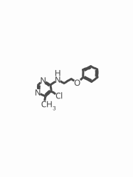 Cc1ncnc(NCCOc2ccccc2)c1Cl